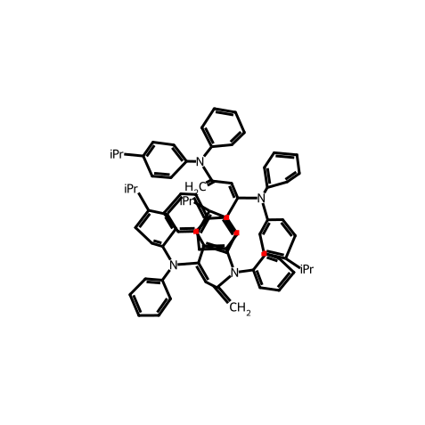 C=C(/C=C(\c1ccc(/C(=C\C(=C)N(c2ccccc2)c2ccc(C(C)C)cc2)N(c2ccccc2)c2ccc(C(C)C)cc2)c2ccccc12)N(c1ccccc1)c1ccc(C(C)C)cc1)N(c1ccccc1)c1ccc(C(C)C)cc1